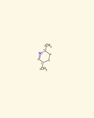 CC1C=NC(C)CC1